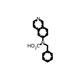 O=C(O)N(Cc1ccccc1)c1ccc2cnccc2c1